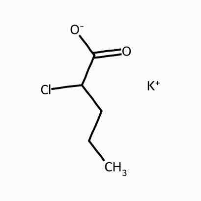 CCCC(Cl)C(=O)[O-].[K+]